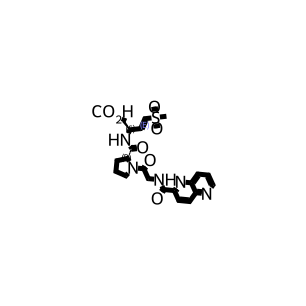 CS(=O)(=O)/C=C/[C@H](CC(=O)O)NC(=O)[C@H]1CCCN1C(=O)CNC(=O)c1ccc2ncccc2n1